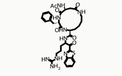 CC(=O)N[C@H]1CC(=O)NCCCC[C@@H](C(=O)NC(CCCNC(=N)N)C(=O)c2nc3ccccc3s2)NC(=O)[C@H](Cc2ccccc2)NC1=O